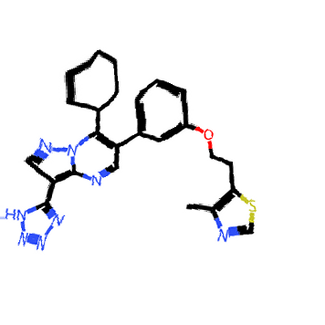 Cc1ncsc1CCOc1cccc(-c2cnc3c(-c4nnn[nH]4)cnn3c2C2CCCCC2)c1